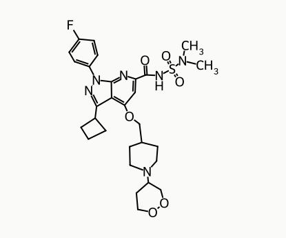 CN(C)S(=O)(=O)NC(=O)c1cc(OCC2CCN(C3CCOOC3)CC2)c2c(C3CCC3)nn(-c3ccc(F)cc3)c2n1